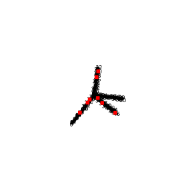 CCCCCCCCCCCCCCCCCC[N+](CCCCCCCCCCCCCC)(CCCCCCCCCCCCCC)CCCCCCCCCCCCCC